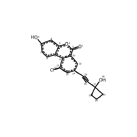 O=c1oc2cc(O)ccc2c2c(Cl)cc(C#CC3(O)CCC3)cc12